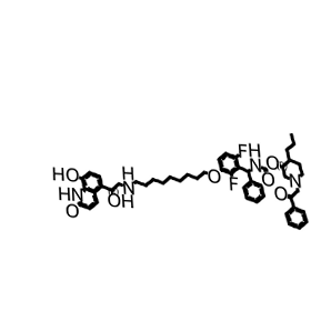 CCCC1CCN(CC(=O)c2ccccc2)C[C@@H]1OC(=O)NC(c1ccccc1)c1c(F)ccc(OCCCCCCCCCNC[C@H](O)c2ccc(O)c3[nH]c(=O)ccc23)c1F